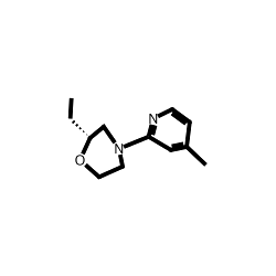 CC[C@@H]1CN(c2cc(C)ccn2)CCO1